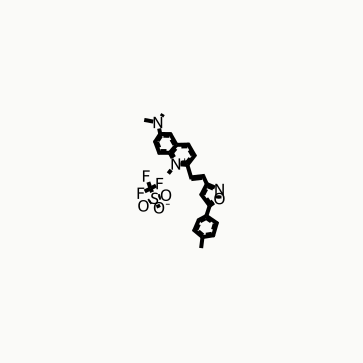 Cc1ccc(-c2cc(/C=C/c3ccc4cc(N(C)C)ccc4[n+]3C)no2)cc1.O=S(=O)([O-])C(F)(F)F